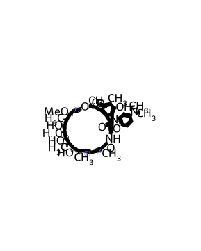 CO[C@H]1/C=C/O[C@@]2(C)Oc3c(C)c(O)c4c(=O)c(c5oc6ccc(N(C)C)cc6nc-5c4c3C2=O)NC(=O)/C(C)=C\C=C\[C@H](C)[C@H](O)[C@@H](C)[C@@H](O)[C@@H](C)[C@H](O)[C@@H]1C